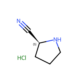 Cl.N#C[C@@H]1CCCN1